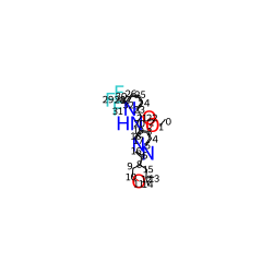 CCOc1cc2nc(C3CCOC(C)(C)C3)cn2cc1NC(=O)c1cccc(C(F)(F)F)n1